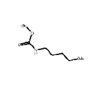 CC(=O)OCCCCNC(=O)OC(C)(C)C